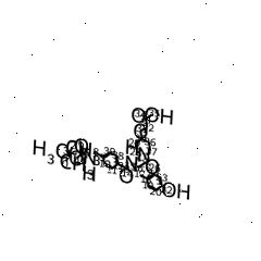 CC(C)(C)OC(=O)NCc1ccc(C(=O)N[C@@H](Cc2ccc(O)cc2)C(=O)N2CCC(OCC(=O)O)CC2)cc1